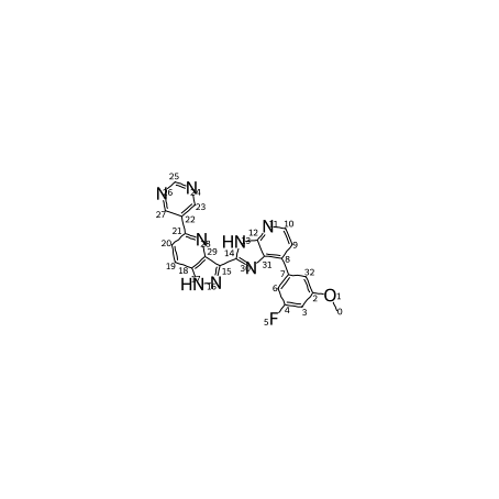 COc1cc(F)cc(-c2ccnc3[nH]c(-c4n[nH]c5ccc(-c6cncnc6)nc45)nc23)c1